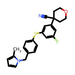 Cc1cccn1Cc1ccc(Sc2cc(F)cc(C3(C#N)CCOCC3)c2)cc1